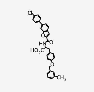 Cc1cccc(COc2ccc(C[C@H](NC(=O)c3cc4ccc(-c5ccc(Cl)cc5)cc4o3)C(=O)O)cc2)c1